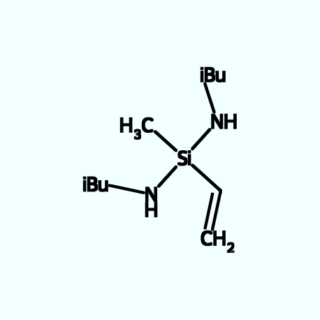 C=C[Si](C)(NC(C)CC)NC(C)CC